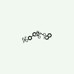 O=c1n(CCOc2nccc3ccccc23)nc2ccc(-c3ccc(OC(F)(F)F)cc3)cn12